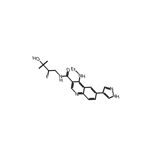 CCNc1c(C(=O)NCC(F)C(C)(C)O)cnc2ccc(-c3cn[nH]c3)cc12